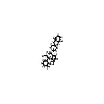 Cc1nc(N2CCC3(CC2)Cc2cccnc2C3)c2ccnn2c1-c1cccc(F)c1Cl